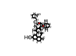 C#Cc1c(F)ccc2cc(O)cc(-c3ncc4c(N5C[C@H]6CC[C@@H](C5)N6C(=O)C=C)nc(OCC5CCCN5C)nc4c3F)c12